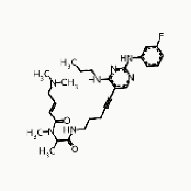 CCCNc1nc(Nc2cccc(F)c2)ncc1C#CCCCNC(=O)C(C)N(C)C(=O)C=CCN(C)C